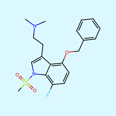 CN(C)CCc1cn(S(C)(=O)=O)c2c(F)ccc(OCc3ccccc3)c12